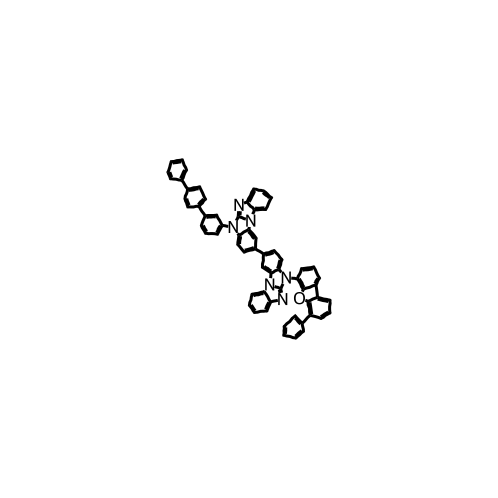 c1ccc(-c2ccc(-c3cccc(-n4c5ccc(-c6ccc7c(c6)n6c8ccccc8nc6n7-c6cccc7c6oc6c(-c8ccccc8)cccc67)cc5n5c6ccccc6nc45)c3)cc2)cc1